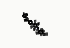 C/C(=C\c1c(F)c(F)c(-c2ccc(NCc3ccc(C)o3)cc2)c(F)c1F)C(=O)NC(C)C(=O)O